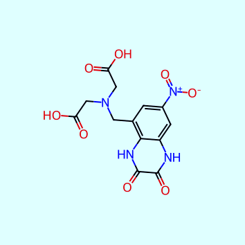 O=C(O)CN(CC(=O)O)Cc1cc([N+](=O)[O-])cc2[nH]c(=O)c(=O)[nH]c12